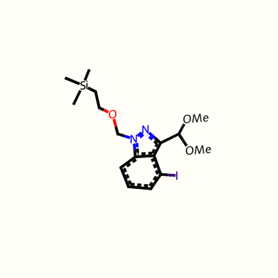 COC(OC)c1nn(COCC[Si](C)(C)C)c2cccc(I)c12